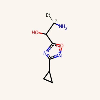 CC[C@H](N)C(O)c1nc(C2CC2)no1